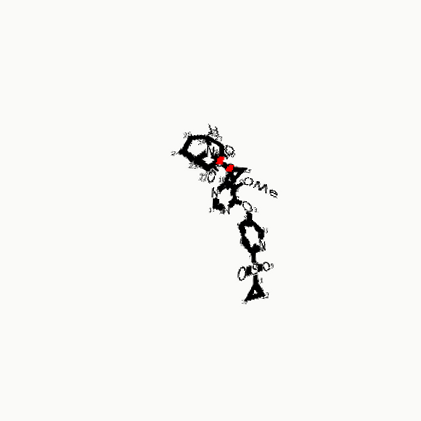 COc1c(Oc2ccc(S(=O)(=O)C3CC3)nc2)ncnc1O[C@H]1CC2CC[C@@H](C1)N2S(=O)(=O)C1CC1